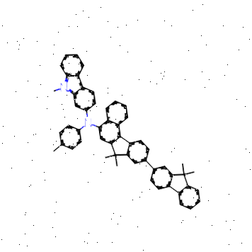 Cc1ccc(N(c2ccc3c4ccccc4n(C)c3c2)c2cc3c(c4ccccc24)-c2ccc(-c4ccc5c(c4)C(C)(C)c4ccccc4-5)cc2C3(C)C)cc1